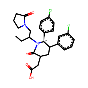 CCC(CN1CCCC1=O)N1C(=O)C(CC(=O)O)CC(c2cccc(Cl)c2)[C@@H]1c1ccc(Cl)cc1